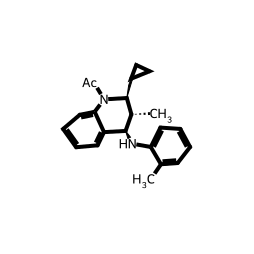 CC(=O)N1c2ccccc2[C@H](Nc2ccccc2C)[C@@H](C)[C@@H]1C1CC1